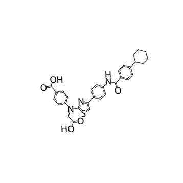 O=C(O)CN(c1ccc(C(=O)O)cc1)c1nc(-c2ccc(NC(=O)c3ccc(C4CCCCC4)cc3)cc2)cs1